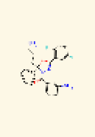 NCCCC1(c2ccccc2)OC(c2cc(F)ccc2F)=NN1C(=O)c1cccc(N)c1